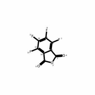 O=C1OC(=O)c2c(F)c(F)c(F)c(F)c21